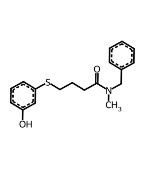 CN(Cc1ccccc1)C(=O)CCCSc1cccc(O)c1